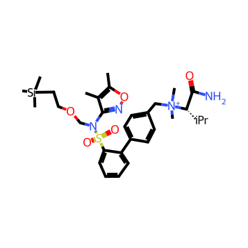 Cc1onc(N(COCC[Si](C)(C)C)S(=O)(=O)c2ccccc2-c2ccc(C[N+](C)(C)[C@H](C(N)=O)C(C)C)cc2)c1C